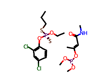 CCCSP(=S)(OCC)Oc1ccc(Cl)cc1Cl.CNC(=O)/C=C(\C)OP(OC)OC